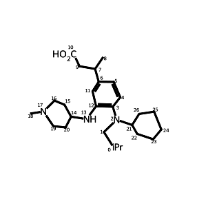 CC(C)CN(c1ccc(C(C)CC(=O)O)cc1NC1CCN(C)CC1)C1CCCCC1